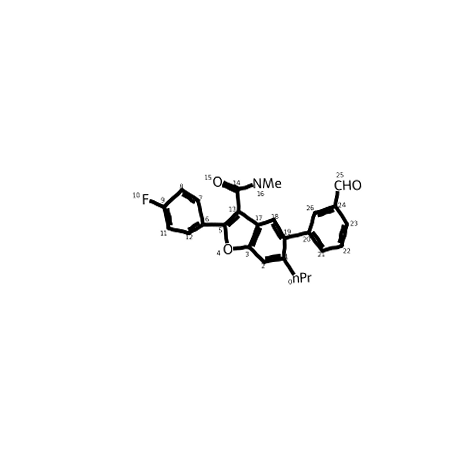 CCCc1cc2oc(-c3ccc(F)cc3)c(C(=O)NC)c2cc1-c1cccc(C=O)c1